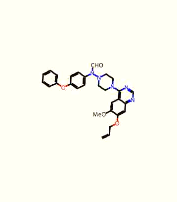 C=CCOc1cc2ncnc(N3CCN(N(C=O)c4ccc(Oc5ccccc5)cc4)CC3)c2cc1OC